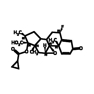 C[C@H]1CC2C3C[C@H](F)C4=CC(=O)C=C[C@]4(C)[C@@]34O[C@H]4C[C@]2(C)[C@@]1(OC(=O)C1CC1)C(=O)O